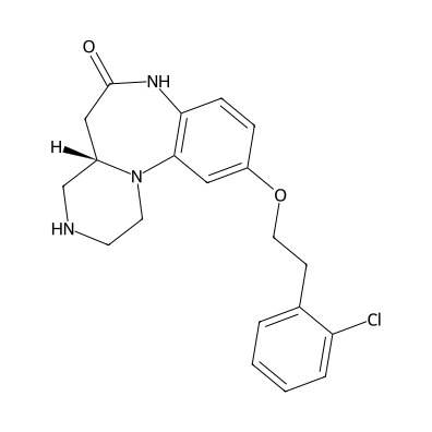 O=C1C[C@H]2CNCCN2c2cc(OCCc3ccccc3Cl)ccc2N1